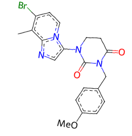 COc1ccc(CN2C(=O)CCN(c3cnc4c(C)c(Br)ccn34)C2=O)cc1